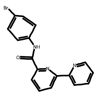 O=C(Nc1ccc(Br)cc1)c1cccc(-c2ccccn2)n1